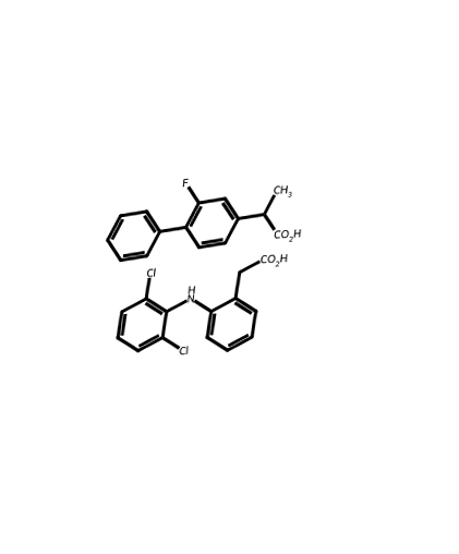 CC(C(=O)O)c1ccc(-c2ccccc2)c(F)c1.O=C(O)Cc1ccccc1Nc1c(Cl)cccc1Cl